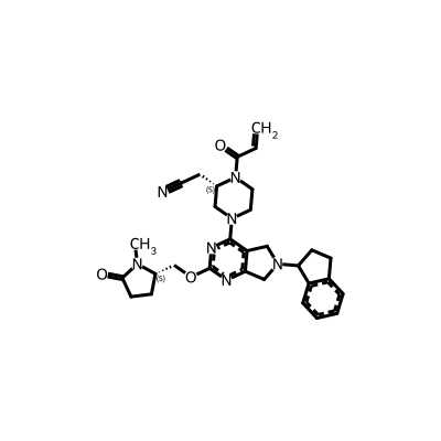 C=CC(=O)N1CCN(c2nc(OC[C@@H]3CCC(=O)N3C)nc3c2CN(C2CCc4ccccc42)C3)C[C@@H]1CC#N